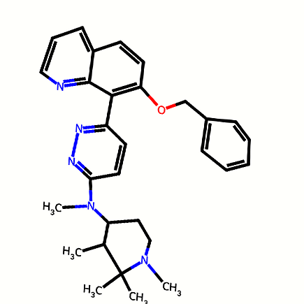 CC1C(N(C)c2ccc(-c3c(OCc4ccccc4)ccc4cccnc34)nn2)CCN(C)C1(C)C